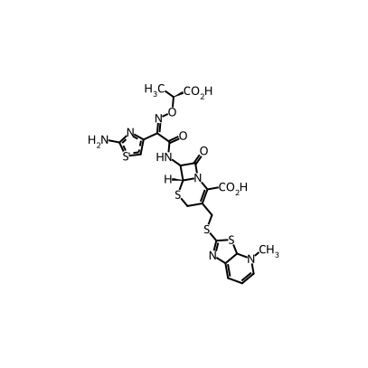 C[C@H](O/N=C(\C(=O)NC1C(=O)N2C(C(=O)O)=C(CSC3=NC4=CC=CN(C)C4S3)CS[C@H]12)c1csc(N)n1)C(=O)O